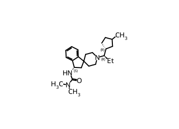 CC[C@H]([C@@H]1CCC(C)C1)N1CCC2(CC1)C[C@H](NC(=O)N(C)C)c1ccccc12